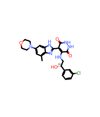 Cc1cc(N2CCOCC2)cc2[nH]c(-c3c(NC[C@@H](O)c4cccc(Cl)c4)c(=O)[nH][nH]c3=O)nc12